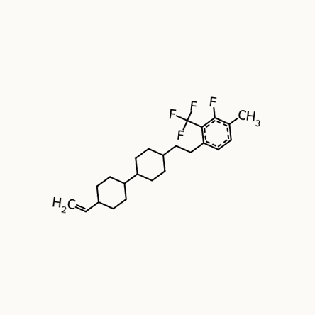 C=CC1CCC(C2CCC(CCc3ccc(C)c(F)c3C(F)(F)F)CC2)CC1